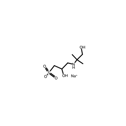 CC(C)(CO)NCC(O)CS(=O)(=O)[O-].[Na+]